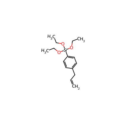 C=CCc1ccc([Si](OCC)(OCC)OCC)cc1